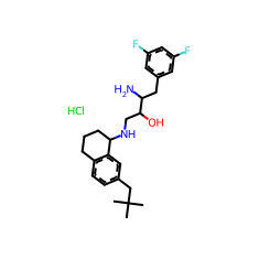 CC(C)(C)Cc1ccc2c(c1)C(NCC(O)C(N)Cc1cc(F)cc(F)c1)CCC2.Cl